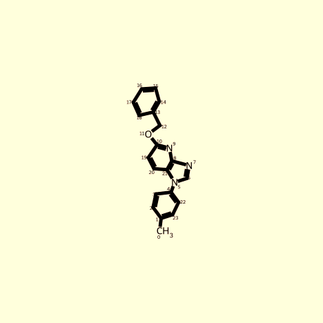 Cc1ccc(-n2cnc3nc(OCc4ccccc4)ccc32)cc1